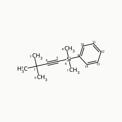 CC(C)(C)C#C[Si](C)(C)c1ccccc1